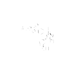 CC(=O)OCS(=O)(=O)c1ccc(-c2[nH]nc(Cl)c2-c2cccc(C)c2)cc1